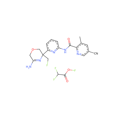 Cc1cc(C#N)cnc1C(=O)Nc1cccc(C2(CF)COCC(N)=N2)n1.O=C(OF)C(F)F